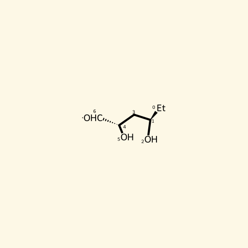 CC[C@@H](O)C[C@H](O)[C]=O